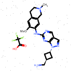 COc1cc2c(cc1Nc1ncc3cnn([C@H]4C[C@H](CN)C4)c3n1)CN(C)CC2.O=C(O)C(F)(F)F